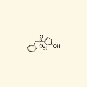 CCOP(=O)(Cc1ccccc1)C1=CCC(O)C1